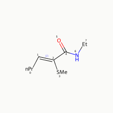 CCC/C=C(\SC)C(=O)NCC